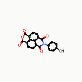 N#Cc1ccc(N2C(=O)c3ccc4c5c(ccc(c35)C2=O)C(=O)OC4=O)cc1